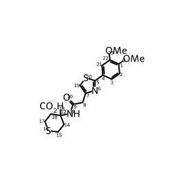 COc1ccc(-c2nc(CC(=O)NC3(C(=O)O)CCSCC3)cs2)cc1OC